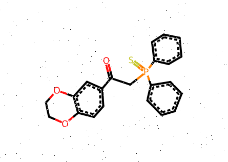 O=C(CP(=S)(c1ccccc1)c1ccccc1)c1ccc2c(c1)OCCO2